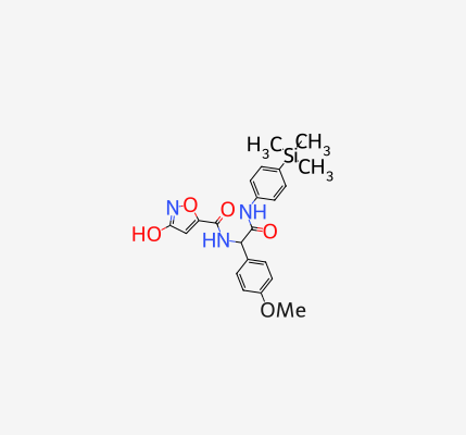 COc1ccc(C(NC(=O)c2cc(O)no2)C(=O)Nc2ccc([Si](C)(C)C)cc2)cc1